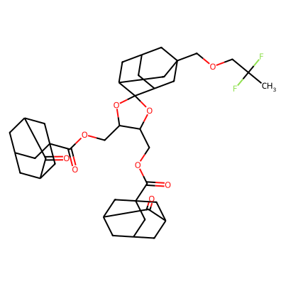 CC(F)(F)COCC12CC3CC(C1)C1(OC(COC(=O)C45CC6CC(C4)C(=O)C(C6)C5)C(COC(=O)C45CC6CC(C4)C(=O)C(C6)C5)O1)C(C3)C2